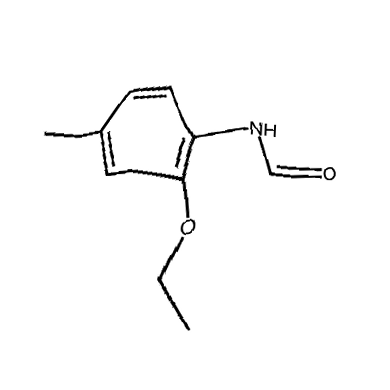 CCOc1cc(C)ccc1NC=O